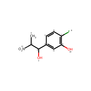 CC(C(O)c1ccc(F)c(O)c1)[N+](=O)[O-]